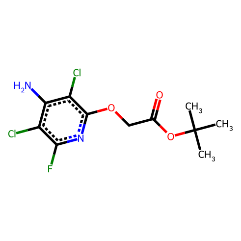 CC(C)(C)OC(=O)COc1nc(F)c(Cl)c(N)c1Cl